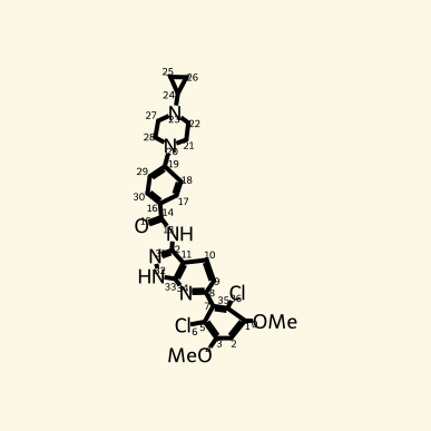 COc1cc(OC)c(Cl)c(-c2ccc3c(NC(=O)c4ccc(N5CCN(C6CC6)CC5)cc4)n[nH]c3n2)c1Cl